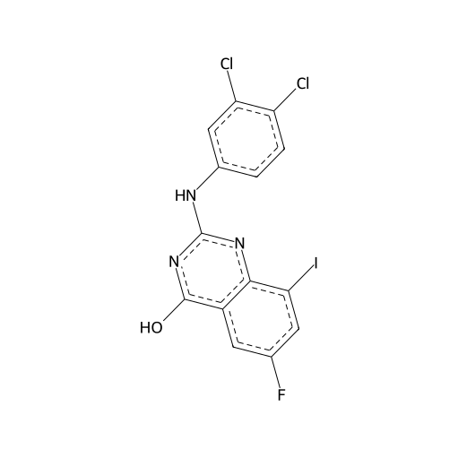 Oc1nc(Nc2ccc(Cl)c(Cl)c2)nc2c(I)cc(F)cc12